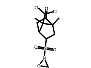 CC12CC(S(=O)(=O)N3CO3)C(CC1=O)C2(C)C(Cl)Cl